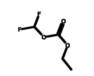 CCOC(=O)OC(F)F